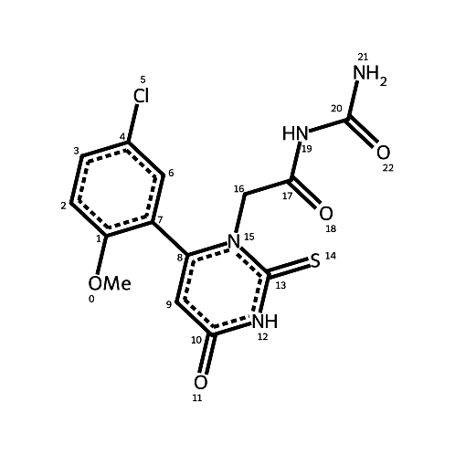 COc1ccc(Cl)cc1-c1cc(=O)[nH]c(=S)n1CC(=O)NC(N)=O